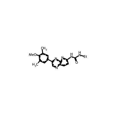 CCNC(=O)Nc1ccc2ncc(-c3cc(C)c(OC)c(C)c3)nc2n1